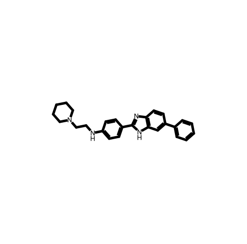 c1ccc(-c2ccc3nc(-c4ccc(NCCN5CCCCC5)cc4)[nH]c3c2)cc1